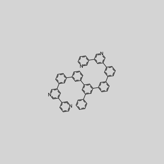 c1ccc(-c2cc(-c3cccc(-c4cccc(-c5cncc(-c6cccnc6)c5)c4)c3)cc(-c3cccc(-c4cccc(-c5cncc(-c6cccnc6)c5)c4)c3)c2)cc1